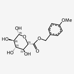 COc1ccc(COC(=O)[C@H]2O[C@@H](O)[C@H](O)[C@@H](O)[C@@H]2O)cc1